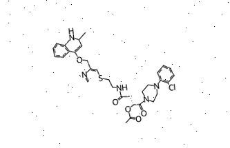 C=N/C(=C\SCCNC(=O)C[C@@H](OC(C)=O)C(=O)N1CCN(c2ccccc2Cl)CC1)COC1=CC(C)Nc2ccccc21